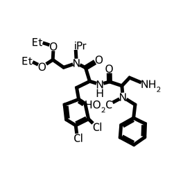 CCOC(CN(C(=O)C(Cc1ccc(Cl)c(Cl)c1)NC(=O)C(CN)N(Cc1ccccc1)C(=O)O)C(C)C)OCC